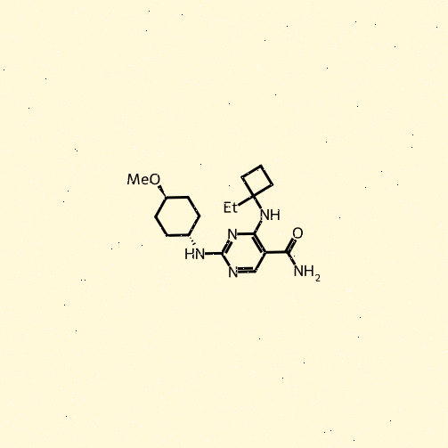 CCC1(Nc2nc(N[C@H]3CC[C@H](OC)CC3)ncc2C(N)=O)CCC1